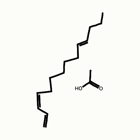 C=C/C=C\CCCCCC=CCCC.CC(=O)O